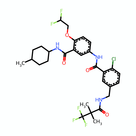 CC1CCC(NC(=O)c2cc(NC(=O)c3cc(CNC(=O)C(C)(C)C(F)(F)F)ccc3Cl)ccc2OCC(F)F)CC1